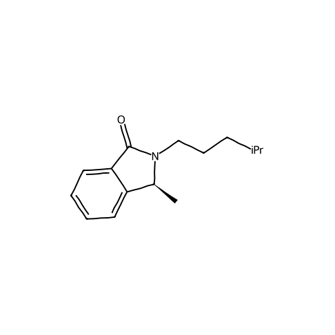 CC(C)CCCN1C(=O)c2ccccc2[C@@H]1C